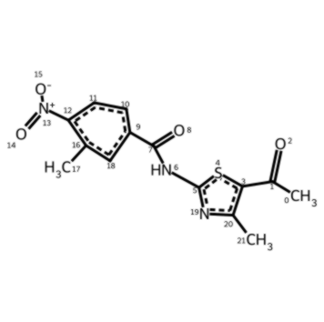 CC(=O)c1sc(NC(=O)c2ccc([N+](=O)[O-])c(C)c2)nc1C